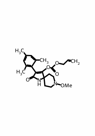 C=CCOC(=O)OC1=C(c2c(C)cc(C)cc2C)C(=O)NC12CCN(OC)CC2